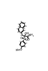 COc1ccc(S(=O)(=O)C(O)(Cc2ccc3ccccc3c2)C(N)=O)cc1